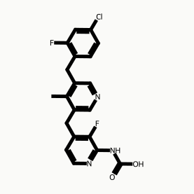 Cc1c(Cc2ccc(Cl)cc2F)cncc1Cc1ccnc(NC(=O)O)c1F